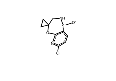 [O-][S+]1NCC2(CC2)Oc2nc(Cl)ccc21